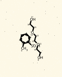 Cc1ccccc1S(=O)(=O)O.OCCOCCOCCO